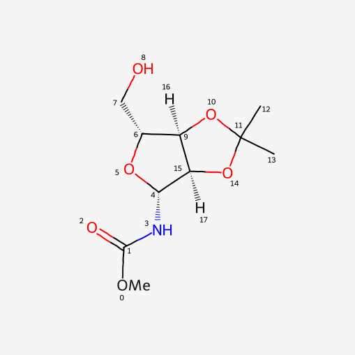 COC(=O)N[C@@H]1O[C@H](CO)[C@H]2OC(C)(C)O[C@H]21